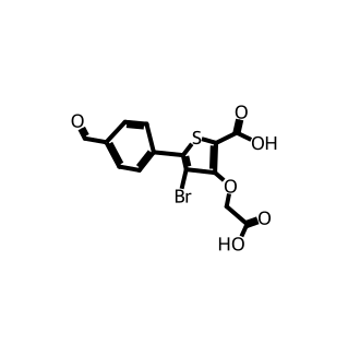 O=Cc1ccc(-c2sc(C(=O)O)c(OCC(=O)O)c2Br)cc1